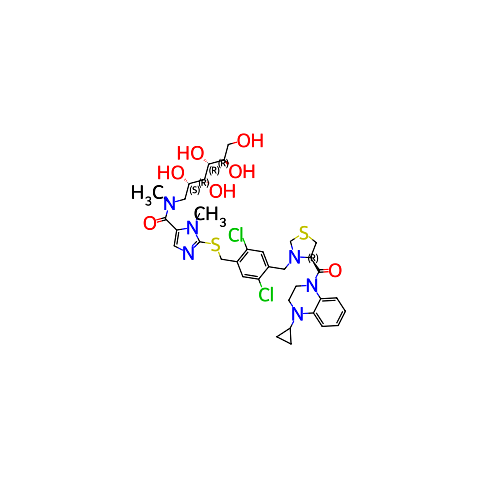 CN(C[C@H](O)[C@@H](O)[C@H](O)[C@H](O)CO)C(=O)c1cnc(SCc2cc(Cl)c(CN3CSC[C@H]3C(=O)N3CCN(C4CC4)c4ccccc43)cc2Cl)n1C